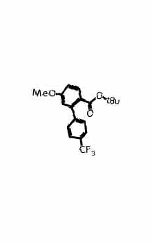 COc1ccc(C(=O)OC(C)(C)C)c(-c2ccc(C(F)(F)F)cc2)c1